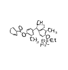 CCC(C)(CC)Oc1ccc(C(C)c2ccc(OC(=O)c3ccccc3)c(C)c2)cc1C